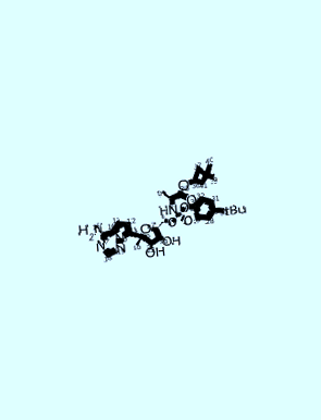 C[C@H](NP(=O)(OC[C@H]1O[C@@](C)(c2ccc3c(N)ncnn23)[C@H](O)[C@@H]1O)Oc1ccc(C(C)(C)C)cc1)C(=O)OC1CC(C)(C)C1